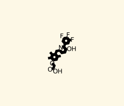 Cc1cc(OCC(=O)O)c(C)c(C)c1Cc1ccc(O)c(-c2cc(F)c(F)c(F)c2)n1